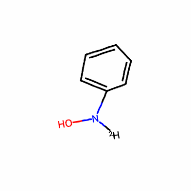 [2H]N(O)c1ccccc1